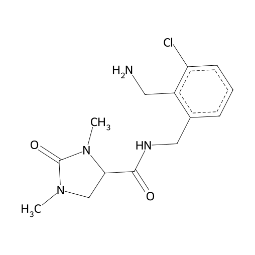 CN1CC(C(=O)NCc2cccc(Cl)c2CN)N(C)C1=O